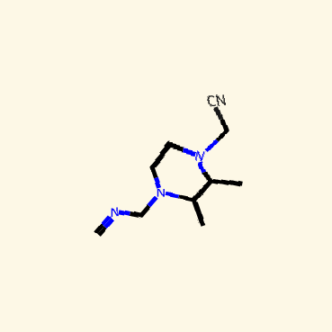 C=NCN1CCN(CC#N)C(C)C1C